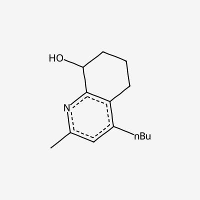 CCCCc1cc(C)nc2c1CCCC2O